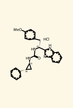 COc1ccc(C[C@@H](NC(=O)N[C@H]2C[C@@H]2c2ccccc2)c2nc3ccccc3[nH]2)cc1.Cl